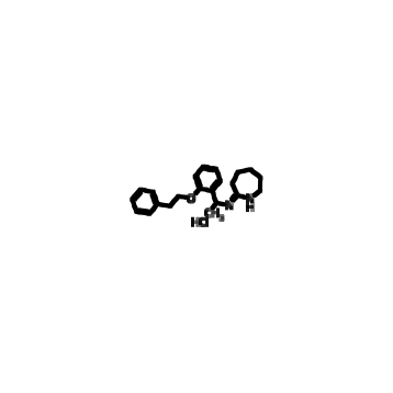 CC(N=C1CCCCCN1)c1ccccc1OCCc1ccccc1.Cl